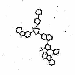 CC1(C)c2cc(-c3cccc4cc(-c5nc(-c6ccc(-c7ccccc7)cc6)nc(-c6ccc7sc8ccccc8c7c6)n5)ccc34)cc3c2-c2c1ccc1c4ccccc4n(c21)-c1ccccc1-3